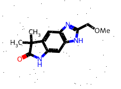 COCc1nc2cc3c(cc2[nH]1)NC(=O)C3(C)C